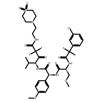 COC[C@H](NC(=O)C(F)(F)c1cccc(Cl)c1)C(=O)N[C@H](C(=O)N[C@H](C(=O)C(F)(F)C(=O)NCCN1CCS(=O)(=O)CC1)C(C)C)c1ccc(OC)cc1